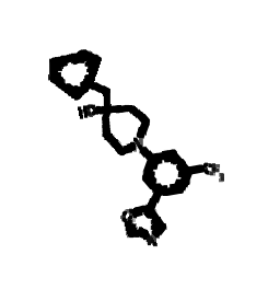 OC1(Cc2ccccc2)CCN(c2cc(-c3cnco3)cc(C(F)(F)F)c2)CC1